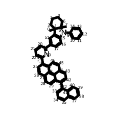 CC12CCCCC1(C)N(c1ccccc1)c1ccc(-c3cccc(-c4ccc5ccc6c(-c7cccc8ccccc78)ccc7ccc4c5c76)n3)cc12